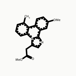 COC(=O)Cc1cnc2c3cc(OC)ccc3c3c(C)cccc3n12